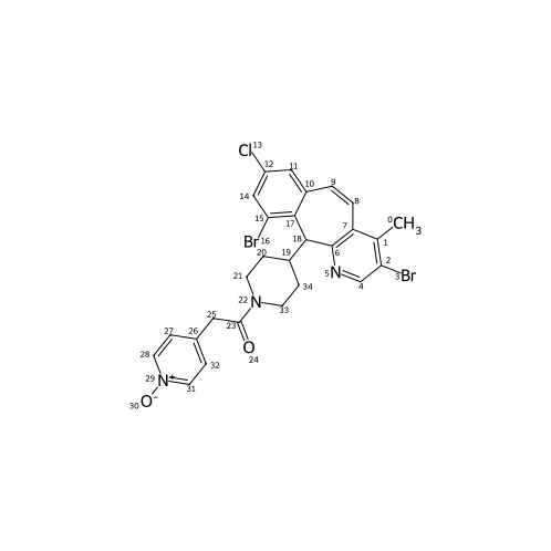 Cc1c(Br)cnc2c1C=Cc1cc(Cl)cc(Br)c1C2C1CCN(C(=O)Cc2cc[n+]([O-])cc2)CC1